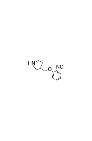 O=Nc1ccccc1OCC1CCNCC1